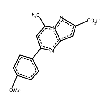 COc1ccc(-c2cc(C(F)(F)F)n3nc(C(=O)O)cc3n2)cc1